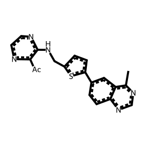 CC(=O)c1nccnc1NCc1ccc(-c2ccc3ncnc(C)c3c2)s1